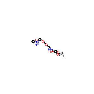 CC1(C)OCc2cc(C(O)CNCCCCCOCCCOCc3cccc(NC(=O)Nc4ccccc4)c3)ccc2O1